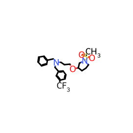 CS(=O)(=O)N1CCCC(OCCCN(Cc2ccccc2)Cc2cccc(C(F)(F)F)c2)C1